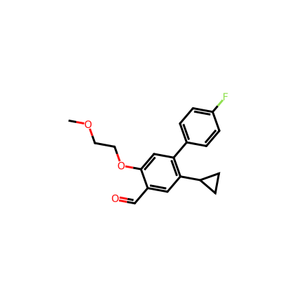 COCCOc1cc(-c2ccc(F)cc2)c(C2CC2)cc1C=O